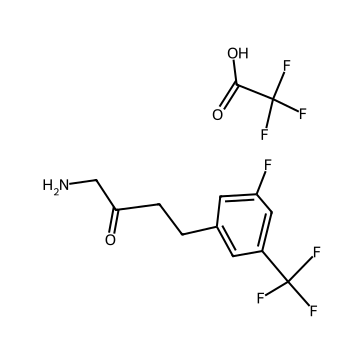 NCC(=O)CCc1cc(F)cc(C(F)(F)F)c1.O=C(O)C(F)(F)F